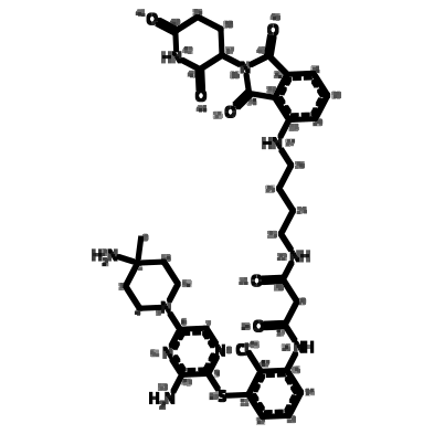 CC1(N)CCN(c2cnc(Sc3cccc(NC(=O)CC(=O)NCCCCNc4cccc5c4C(=O)N(C4CCC(=O)NC4=O)C5=O)c3Cl)c(N)n2)CC1